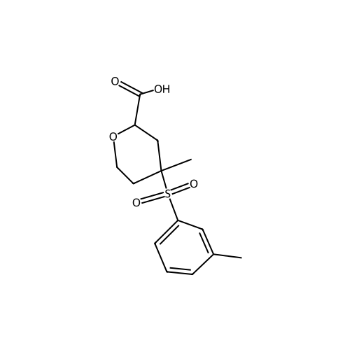 Cc1cccc(S(=O)(=O)C2(C)CCOC(C(=O)O)C2)c1